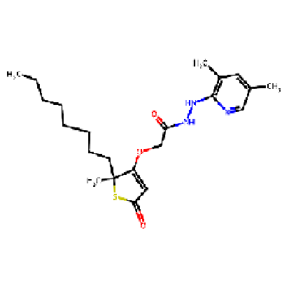 CCCCCCCCC1(C)SC(=O)C=C1OCC(=O)NNc1ncc(C)cc1C